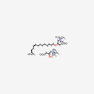 CCCCC/C=C\C/C=C\CCCCCCCCOC(CC(=O)[O-])C[N+](C)(C)C.C[N+](C)(C)CC(O)CC(=O)[O-]